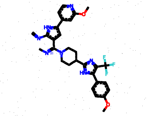 C=Nc1[nH]c(-c2ccnc(OC)c2)cc1/C(=N\C)N1CCC(c2nc(C(F)(F)F)c(-c3ccc(OC)cc3)[nH]2)CC1